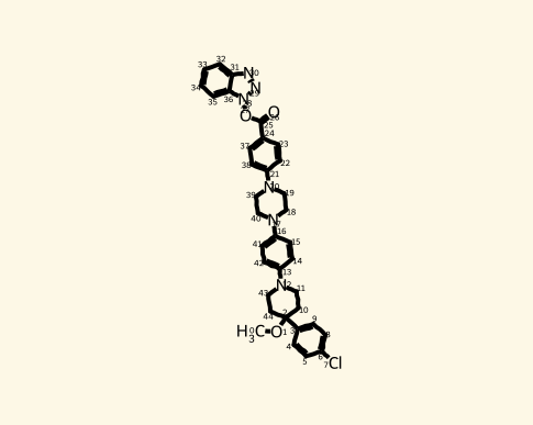 COC1(c2ccc(Cl)cc2)CCN(c2ccc(N3CCN(c4ccc(C(=O)On5nnc6ccccc65)cc4)CC3)cc2)CC1